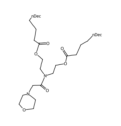 CCCCCCCCCCCCCC(=O)OCCN(CCOC(=O)CCCCCCCCCCCCC)C(=O)CN1CCOCC1